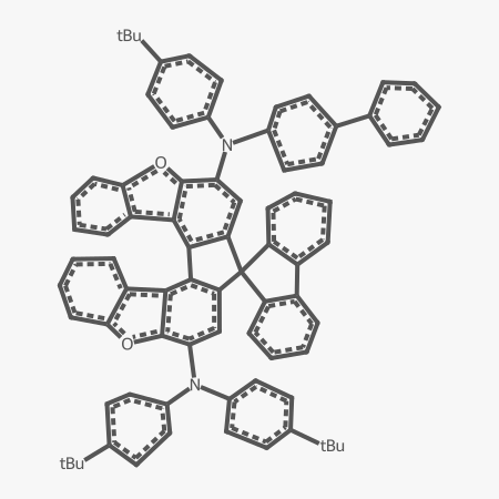 CC(C)(C)c1ccc(N(c2ccc(-c3ccccc3)cc2)c2cc3c(c4c2oc2ccccc24)-c2c(cc(N(c4ccc(C(C)(C)C)cc4)c4ccc(C(C)(C)C)cc4)c4oc5ccccc5c24)C32c3ccccc3-c3ccccc32)cc1